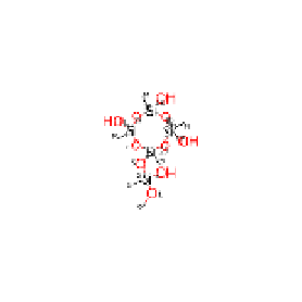 CO[Si](C)(O)O[Si]1(C)O[Si](C)(O)O[Si](C)(O)O[Si](C)(O)O1